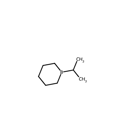 CC(C)B1CCCCC1